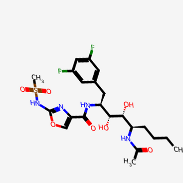 CCCC[C@@H](NC(C)=O)[C@@H](O)[C@H](O)[C@H](Cc1cc(F)cc(F)c1)NC(=O)c1coc(NS(C)(=O)=O)n1